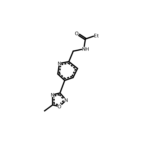 CCC(=O)NCc1ccc(-c2noc(C)n2)cn1